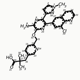 Cn1ccc(-c2nc(N)c(OCc3ccc(CC(C)(C)C(=O)O)cn3)nc2-c2cc(Cl)c3ncccc3c2)n1